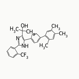 Cc1cc(C)c(-c2ccc(-c3[nH]c(-c4ccccc4C(F)(F)F)nc3C(C)(C)O)cc2)cc1C